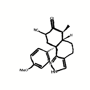 COc1ccc([C@]23CC(C#N)C(=O)[C@@H](C)[C@@H]2CCc2c[nH]nc23)cc1